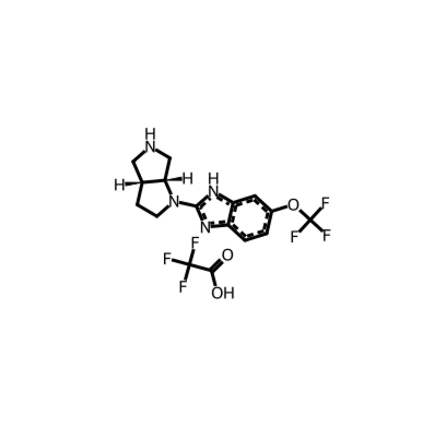 FC(F)(F)Oc1ccc2nc(N3CC[C@@H]4CNC[C@@H]43)[nH]c2c1.O=C(O)C(F)(F)F